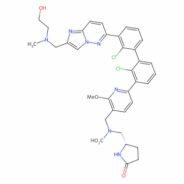 COc1nc(-c2cccc(-c3cccc(-c4ccc5nc(CN(C)CCO)cn5n4)c3Cl)c2Cl)ccc1CN(C[C@@H]1CCC(=O)N1)C(=O)O